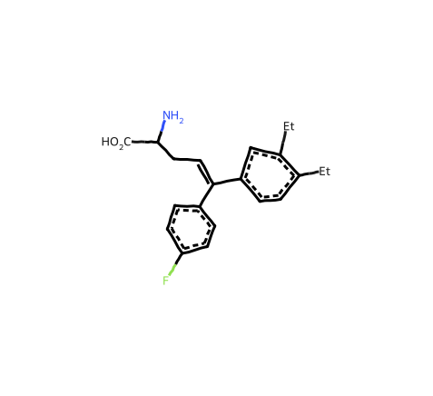 CCc1ccc(C(=CCC(N)C(=O)O)c2ccc(F)cc2)cc1CC